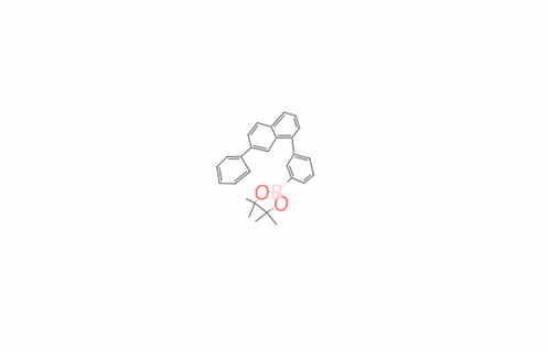 CC1(C)OB(c2cccc(-c3cccc4ccc(-c5ccccc5)cc34)c2)OC1(C)C